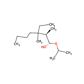 CCCCC(C)(CC)[C@@H](C)[C@@H](O)OC(C)C